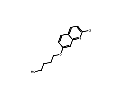 OCCCCOc1ccc2ccc(Cl)nc2c1